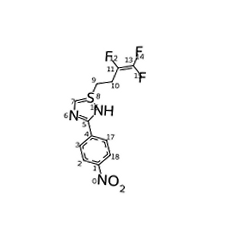 O=[N+]([O-])c1ccc(C2=NC=S(CCC(F)=C(F)F)N2)cc1